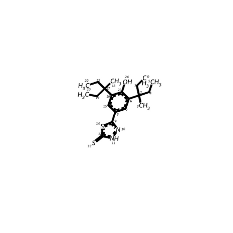 CCC(C)(CC)c1cc(-c2n[nH]c(=S)s2)cc(C(C)(CC)CC)c1O